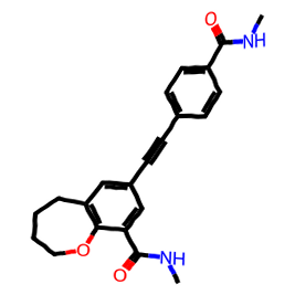 CNC(=O)c1ccc(C#Cc2cc3c(c(C(=O)NC)c2)OCCCC3)cc1